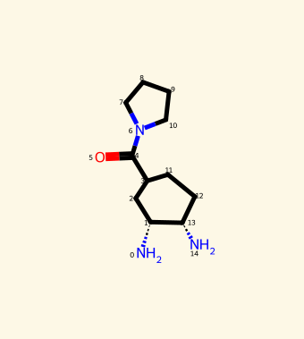 N[C@@H]1CC(C(=O)N2CCCC2)CC[C@@H]1N